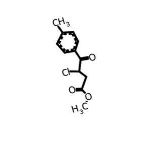 COC(=O)CC(Cl)C(=O)c1ccc(C)cc1